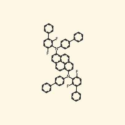 Fc1ccc(-c2ccccc2)c(F)c1N(c1ccc(-c2ccccc2)cc1)c1ccc2ccc3c(N(c4ccc(-c5ccccc5)cc4)c4c(F)ccc(-c5ccccc5)c4F)ccc4ccc1c2c43